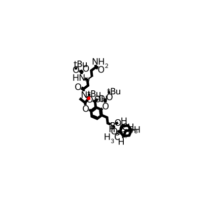 CC(C)(C)OC(=O)N[C@@H](CCC(N)=O)CC(=O)N1CC(Oc2ccc(CCB3O[C@@H]4C[C@@H]5C[C@@H](C5(C)C)[C@]4(C)O3)c(OC(=O)OC(C)(C)C)c2C(O)OC(C)(C)C)C1